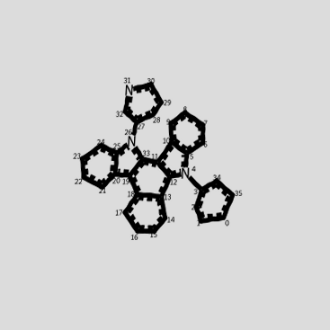 c1ccc(-n2c3ccccc3c3c2c2ccccc2c2c4ccccc4n(-c4cccnc4)c23)cc1